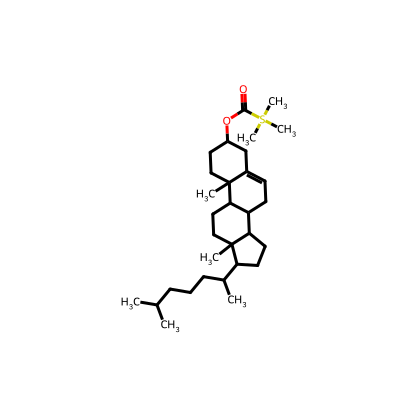 CC(C)CCCC(C)C1CCC2C3CC=C4CC(OC(=O)S(C)(C)C)CCC4(C)C3CCC12C